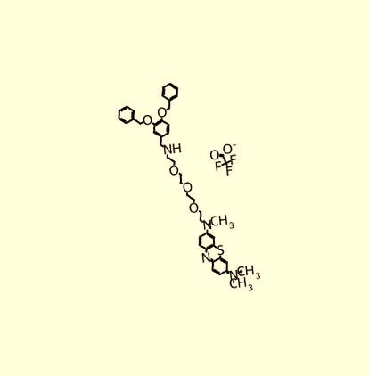 CN(CCOCCOCCOCCNCc1ccc(OCc2ccccc2)c(OCc2ccccc2)c1)c1ccc2nc3ccc(=[N+](C)C)cc-3sc2c1.O=C([O-])C(F)(F)F